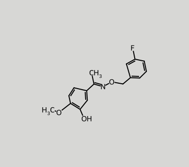 COc1ccc(/C(C)=N/OCc2cccc(F)c2)cc1O